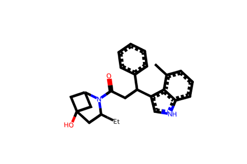 CCC1CC2(O)CC(C2)N1C(=O)CC(c1ccccc1)c1c[nH]c2cccc(C)c12